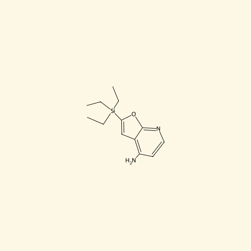 CC[Si](CC)(CC)c1cc2c(N)ccnc2o1